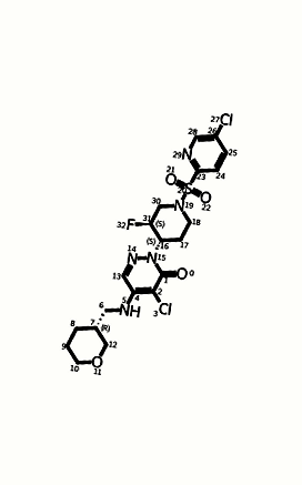 O=c1c(Cl)c(NC[C@H]2CCCOC2)cnn1[C@H]1CCN(S(=O)(=O)c2ccc(Cl)cn2)C[C@@H]1F